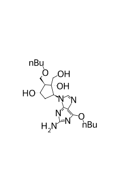 CCCCOC[C@@H]1[C@@H](O)C[C@H](n2cnc3c(OCCCC)nc(N)nc32)[C@]1(O)CO